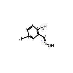 O/N=C/c1cc(I)ccc1O